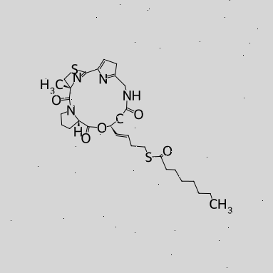 CCCCCCCC(=O)SCC/C=C/[C@@H]1CC(=O)NCC2=NC(=CC2)C2=N[C@@](C)(CS2)C(=O)N2CCC[C@H]2C(=O)O1